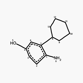 Nc1ccc(O)cc1C1CCCCC1